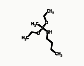 CCCCN[Si](C)(OCC)OCC